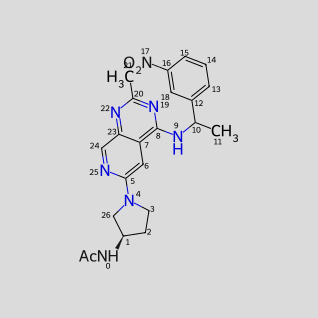 CC(=O)N[C@@H]1CCN(c2cc3c(NC(C)c4cccc([N+](=O)[O-])c4)nc(C)nc3cn2)C1